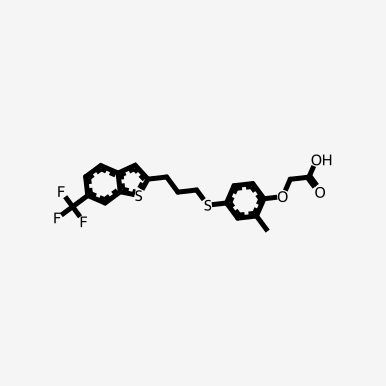 Cc1cc(SCCCc2cc3ccc(C(F)(F)F)cc3s2)ccc1OCC(=O)O